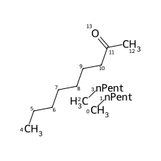 CCCCCC.CCCCCC.CCCCCCCC(C)=O